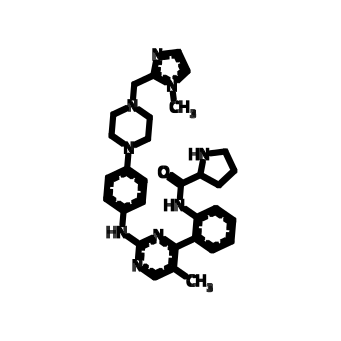 Cc1cnc(Nc2ccc(N3CCN(Cc4nccn4C)CC3)cc2)nc1-c1ccccc1NC(=O)C1CCCN1